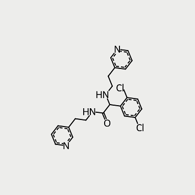 O=C(NCCc1cccnc1)C(NCCc1cccnc1)c1cc(Cl)ccc1Cl